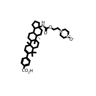 CC1(C)C(c2ccc(C(=O)O)cc2)=CCC2(C)C1CCC1(C)C2CCC2C3CCCC3(NC(=O)OCCN3CC[S+]([O-])CC3)CC[C@]21C